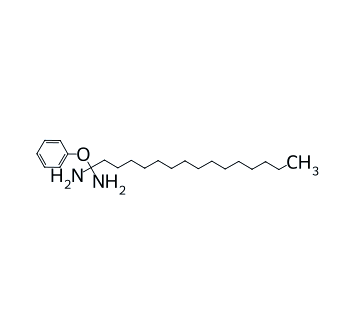 CCCCCCCCCCCCCCCC(N)(N)Oc1ccccc1